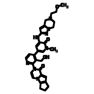 COCCN1CCn2nc(Nc3cc(-c4ccnc(-n5ccn6c7c(cc6c5=O)CCC7)c4CO)cn(C)c3=O)cc2C1